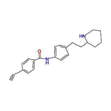 C#Cc1ccc(C(=O)Nc2ccc(CCC3CCCCN3)cc2)cc1